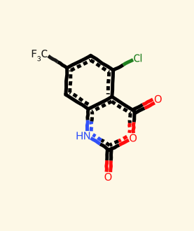 O=c1[nH]c2cc(C(F)(F)F)cc(Cl)c2c(=O)o1